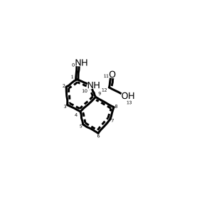 N=c1ccc2ccccc2[nH]1.O=CO